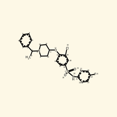 CC(c1ccccc1)N1CCC(Oc2ccc(S(=O)(=O)Nc3ncc(F)cn3)cc2Cl)CC1